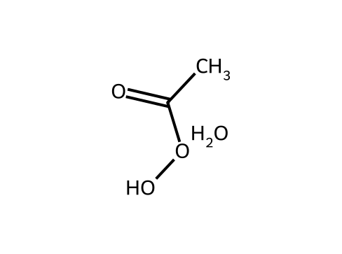 CC(=O)OO.O